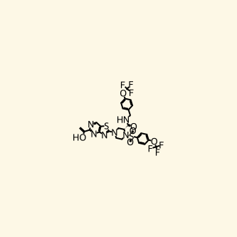 C=C(O)c1ncc2sc(N3CCN(S(=O)(=O)c4ccc(OC(F)(F)F)cc4)[C@@H](C(=O)NCc4ccc(OC(F)(F)F)cc4)C3)nc2n1